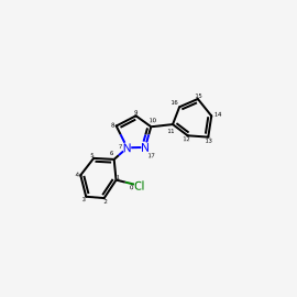 Clc1ccccc1-n1ccc(-c2ccccc2)n1